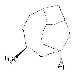 N[C@H]1CCC2CC3C[C@H](CC23)C1